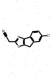 N#CCc1nc2c(s1)Cc1cc(Cl)ccc1-2